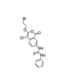 O=c1oc(OCCBr)c(Cl)c2ccc(NC(=S)Nc3ccccc3)cc12